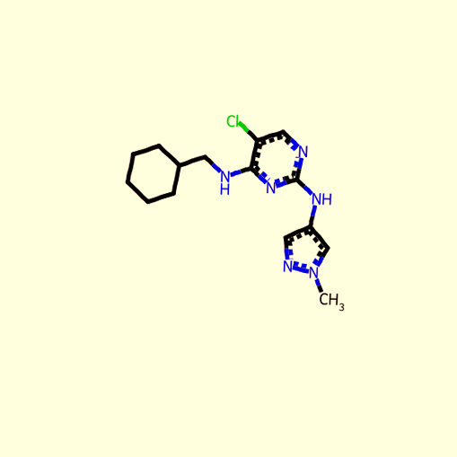 Cn1cc(Nc2ncc(Cl)c(NCC3CCCCC3)n2)cn1